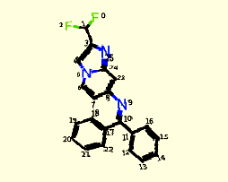 FC(F)c1cn2ccc(N=C(c3ccccc3)c3ccccc3)cc2n1